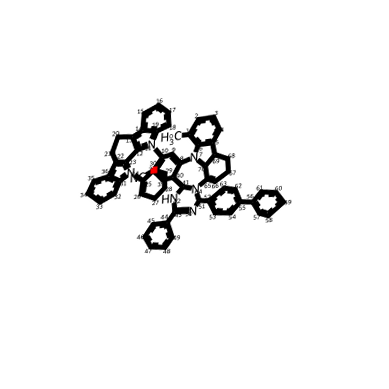 Cc1cccc2c1N1C3=CC(n4c5c(c6ccccc64)CCc4c-5n(C5=CCCC=C5)c5ccccc45)=C(C#N)CC3C3NC(c4ccccc4)=NC(c4ccc(-c5ccccc5)cc4)N3C3=CCCC2C31